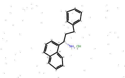 Cl.N[C@@H](CCc1ccccc1)c1cccc2ccccc12